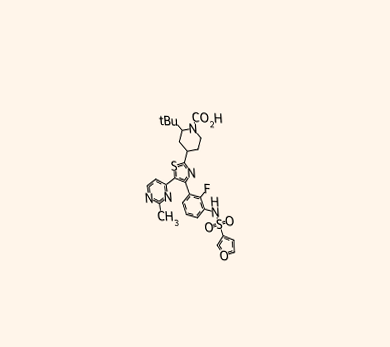 Cc1nccc(-c2sc(C3CCN(C(=O)O)C(C(C)(C)C)C3)nc2-c2cccc(NS(=O)(=O)c3ccoc3)c2F)n1